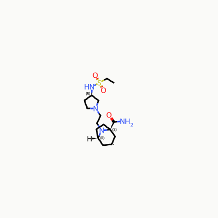 CCS(=O)(=O)N[C@@H]1CCN(CCN2[C@@H]3C[CH]C[C@@]2(C(N)=O)CC3)C1